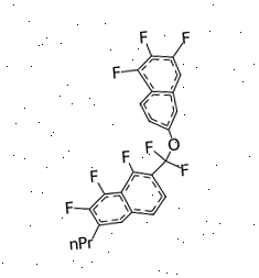 CCCc1cc2ccc(C(F)(F)Oc3ccc4c(F)c(F)c(F)cc4c3)c(F)c2c(F)c1F